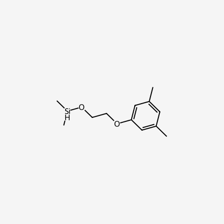 Cc1cc(C)cc(OCCO[SiH](C)C)c1